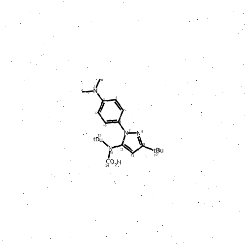 CN(C)c1ccc(-n2nc(C(C)(C)C)cc2N(C(=O)O)C(C)(C)C)cc1